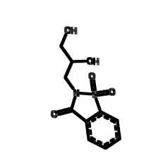 O=C1c2ccccc2S(=O)(=O)N1CC(O)CO